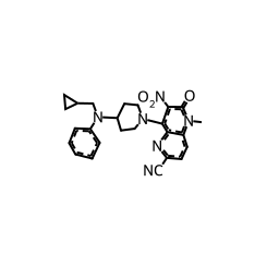 Cn1c(=O)c([N+](=O)[O-])c(N2CCC(N(CC3CC3)c3ccccc3)CC2)c2nc(C#N)ccc21